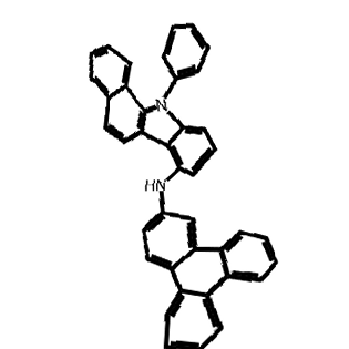 c1ccc(-n2c3cccc(Nc4ccc5c6ccccc6c6ccccc6c5c4)c3c3ccc4ccccc4c32)cc1